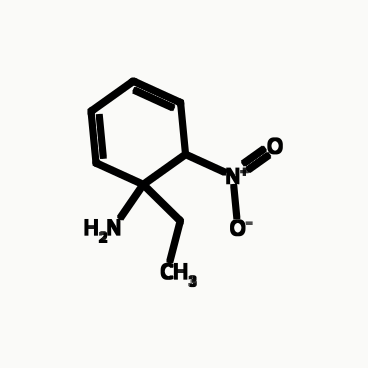 CCC1(N)C=CC=CC1[N+](=O)[O-]